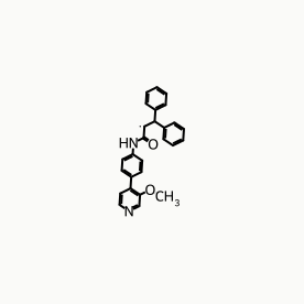 COc1cnccc1-c1ccc(NC(=O)[CH]C(c2ccccc2)c2ccccc2)cc1